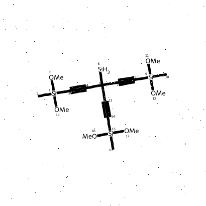 CO[Si](C)(C#CC([SiH3])(C#C[Si](C)(OC)OC)C#C[Si](C)(OC)OC)OC